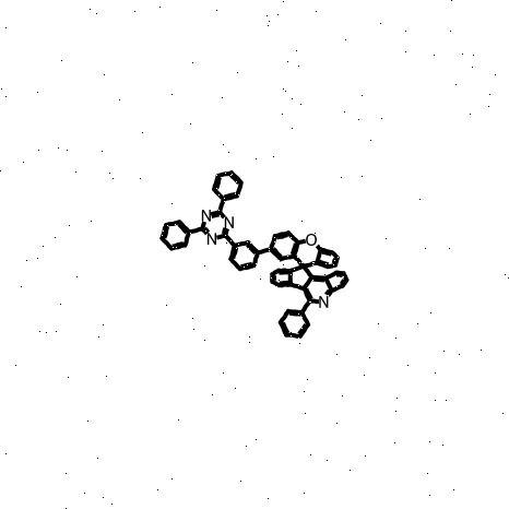 c1ccc(-c2nc(-c3ccccc3)nc(-c3cccc(-c4ccc5c(c4)C4(c6ccccc6O5)c5ccccc5-c5c(-c6ccccc6)nc6ccccc6c54)c3)n2)cc1